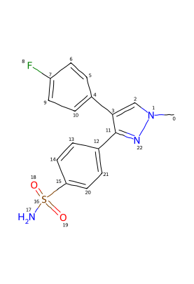 Cn1cc(-c2ccc(F)cc2)c(-c2ccc(S(N)(=O)=O)cc2)n1